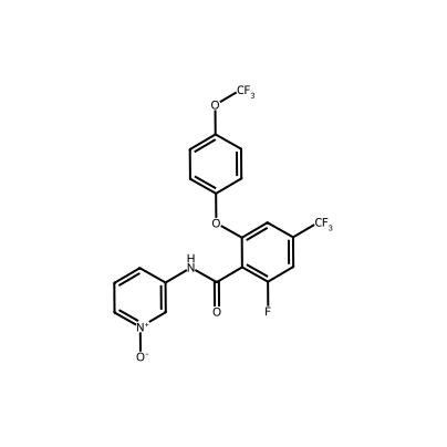 O=C(Nc1ccc[n+]([O-])c1)c1c(F)cc(C(F)(F)F)cc1Oc1ccc(OC(F)(F)F)cc1